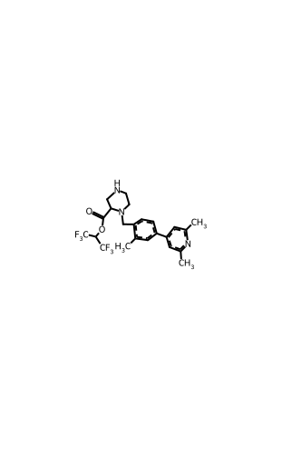 Cc1cc(-c2ccc(CN3CCNCC3C(=O)OC(C(F)(F)F)C(F)(F)F)c(C)c2)cc(C)n1